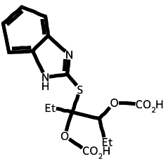 CCC(OC(=O)O)C(CC)(OC(=O)O)Sc1nc2ccccc2[nH]1